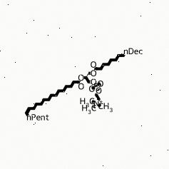 CCCCC/C=C\CCCCCCCCCCCCC(=O)O[C@H](COC(=O)CCCCCCCCCCCCCCCCC)COP(=O)([O-])OCC[N+](C)(C)C